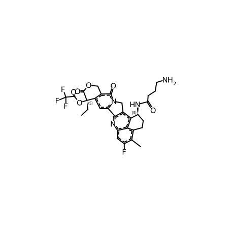 CC[C@@]1(OC(=O)C(F)(F)F)C(=O)OCc2c1cc1n(c2=O)Cc2c-1nc1cc(F)c(C)c3c1c2[C@@H](NC(=O)CCCN)CC3